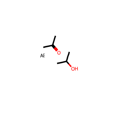 CC(C)=O.CC(C)O.[Al]